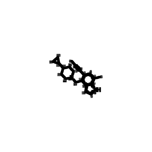 CC#Cc1cc(C)c2[nH]ccc2c1CN1CCC(C2CC2)CC1